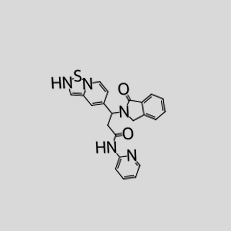 O=C(CC(C1=CC2=CNSN2C=C1)N1Cc2ccccc2C1=O)Nc1ccccn1